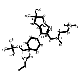 CCOC[C@]1(COC(F)(F)F)CC[C@H](c2c(CN(C)CCNC)nn3c2CC(F)(F)C3)CC1